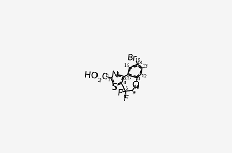 O=C(O)c1nc2c(s1)C(F)(F)COc1ccc(Br)cc1-2